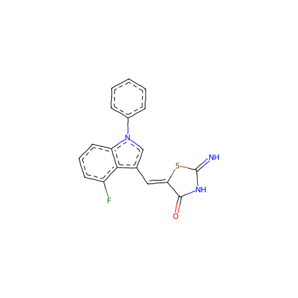 N=C1NC(=O)/C(=C/c2cn(-c3ccccc3)c3cccc(F)c23)S1